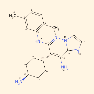 Cc1ccc(C)c(Nc2nn3ccnc3c(N)c2[C@H]2CC[C@H](N)CC2)c1